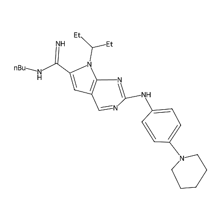 CCCCNC(=N)c1cc2cnc(Nc3ccc(N4CCCCC4)cc3)nc2n1C(CC)CC